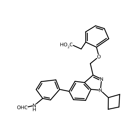 O=CNc1cccc(-c2ccc3c(c2)c(COc2ccccc2CC(=O)O)nn3C2CCC2)c1